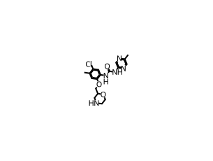 Cc1cnc(NC(=O)Nc2cc(Cl)c(C)cc2OCC2CNCCO2)cn1